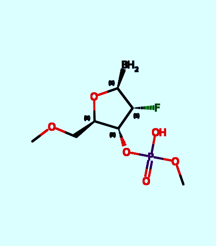 B[C@@H]1O[C@H](COC)[C@@H](OP(=O)(O)OC)[C@H]1F